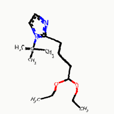 CCOC(CCCc1nccn1[Si](C)(C)C)OCC